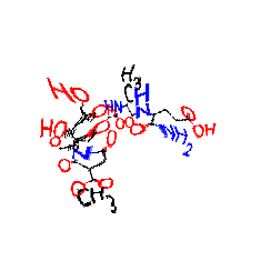 COC(=O)C1CC(=O)N([C@@H](C=O)[C@@H](OCC(=O)NC(C)C(=O)NC(CCC(=O)O)C(N)=O)[C@H](O)[C@H](O)CO)C1=O